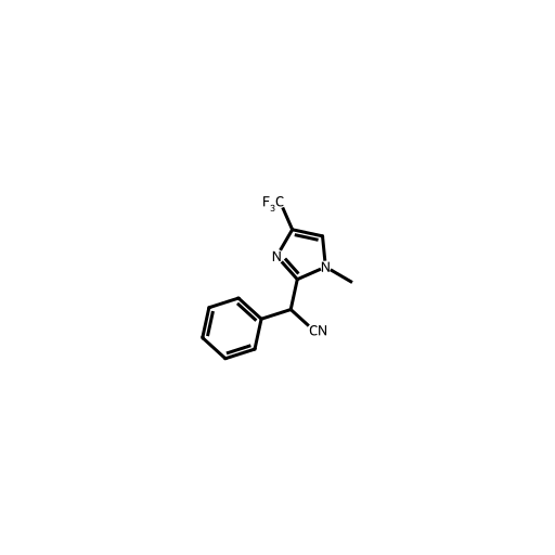 Cn1cc(C(F)(F)F)nc1C(C#N)c1ccccc1